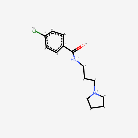 O=C(NCCCN1C[CH]CC1)c1ccc(Cl)cc1